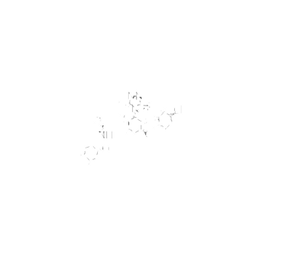 COc1ccccc1CNC(=O)CCCCc1nnc(SCc2cccc(Cl)c2)n1-c1cccc(Cl)c1